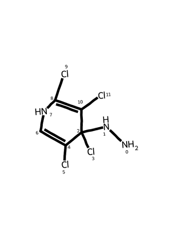 NNC1(Cl)C(Cl)=CNC(Cl)=C1Cl